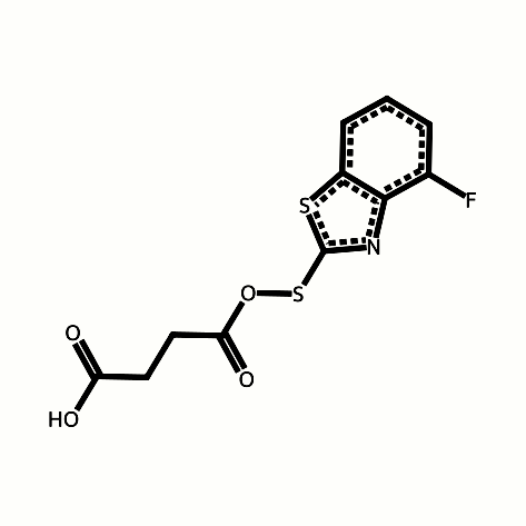 O=C(O)CCC(=O)OSc1nc2c(F)cccc2s1